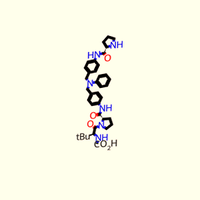 CC(C)(C)[C@H](NC(=O)O)C(=O)N1CCC[C@H]1C(=O)Nc1ccc(CN(Cc2ccc(NC(=O)[C@@H]3CCCN3)cc2)c2ccccc2)cc1